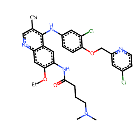 CCOc1cc2ncc(C#N)c(Nc3ccc(OCc4cc(Cl)ccn4)c(Cl)c3)c2cc1NC(=O)CCCN(C)C